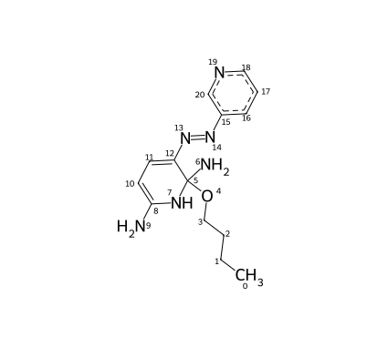 CCCCOC1(N)NC(N)=CC=C1N=Nc1cccnc1